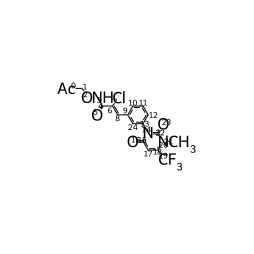 CC(=O)CONC(=O)C(Cl)=Cc1cccc(-n2c(=O)cc(C(F)(F)F)n(C)c2=O)c1